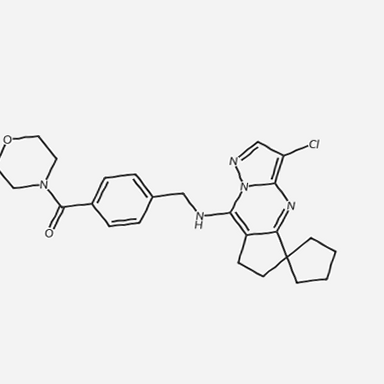 O=C(c1ccc(CNc2c3c(nc4c(Cl)cnn24)C2(CCCC2)CC3)cc1)N1CCOCC1